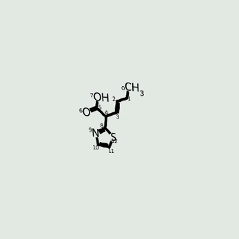 CCC=CC(C(=O)O)c1nccs1